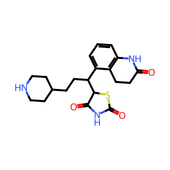 O=C1CCc2c(cccc2C(CCC2CCNCC2)C2SC(=O)NC2=O)N1